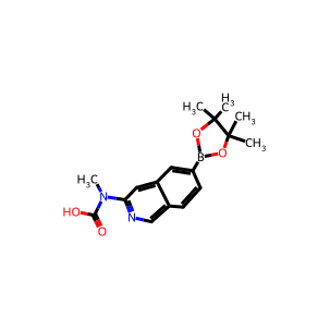 CN(C(=O)O)c1cc2cc(B3OC(C)(C)C(C)(C)O3)ccc2cn1